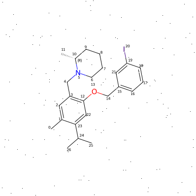 Cc1cc(CN2CCCC[C@H]2C)c(OCc2cccc(I)c2)cc1C(C)C